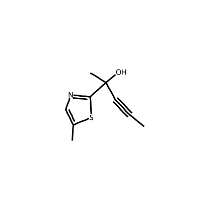 CC#CC(C)(O)c1ncc(C)s1